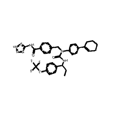 CCC(NC(=O)N(Cc1ccc(C(=O)Nc2nn[nH]n2)cc1)c1ccc(C2=CCCCC2)cc1)c1ccc(OC(F)(F)F)cc1